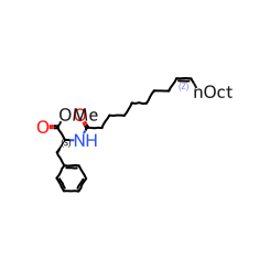 CCCCCCCC/C=C\CCCCCCCC(=O)N[C@@H](Cc1ccccc1)C(=O)OC